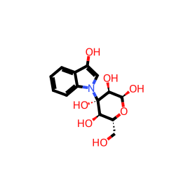 OC[C@H]1O[C@H](O)[C@H](O)[C@](O)(n2cc(O)c3ccccc32)[C@@H]1O